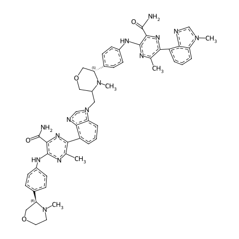 Cc1nc(Nc2ccc([C@H]3COCC(Cn4cnc5c(-c6nc(C(N)=O)c(Nc7ccc([C@@H]8COCCN8C)cc7)nc6C)cccc54)N3C)cc2)c(C(N)=O)nc1-c1cccc2c1ncn2C